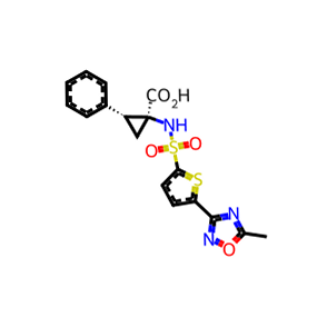 Cc1nc(-c2ccc(S(=O)(=O)N[C@@]3(C(=O)O)C[C@@H]3c3ccccc3)s2)no1